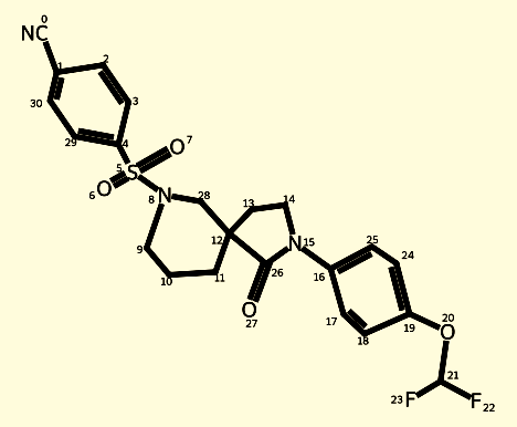 N#Cc1ccc(S(=O)(=O)N2CCCC3(CCN(c4ccc(OC(F)F)cc4)C3=O)C2)cc1